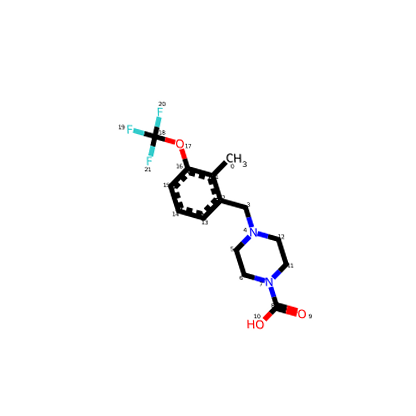 Cc1c(CN2CCN(C(=O)O)CC2)cccc1OC(F)(F)F